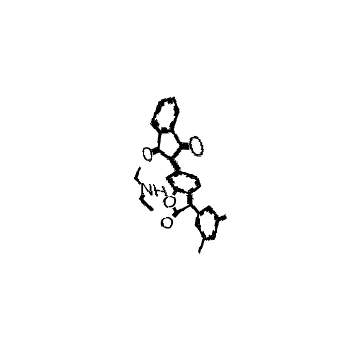 CCNCC.Cc1cc(C)cc(C2=c3ccc(=C4C(=O)c5ccccc5C4=O)cc3OC2=O)c1